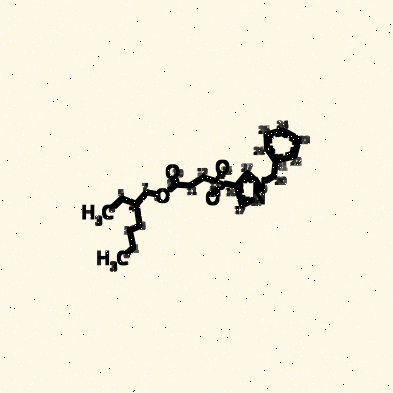 CCCCC(CC)COC(=O)CCS(=O)(=O)c1cnn(Cc2ccccc2)c1